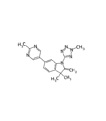 C=C1N(c2nnn(C)n2)c2cc(-c3cnc(C)nc3)ccc2C1(C)C